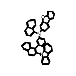 c1cc(-c2c(-n3c4ccccc4c4ccccc43)ccc3ccccc23)cc(N(c2ccc3c(c2)oc2ccccc23)c2cccc3ccccc23)c1